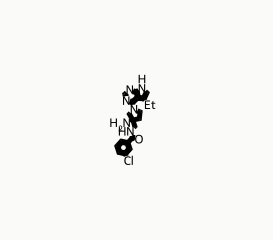 CCc1c[nH]c2ncnc(N3CC[C@](N)(CNC(=O)c4cccc(Cl)c4)C3)c12